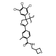 Cc1cc(C2=NCC(c3cc(Cl)c(Cl)c(Cl)c3)(C(F)(F)F)C2)ccc1C(=O)NCC1CSC1